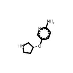 Nc1ccc(O[C@@H]2CCNC2)cn1